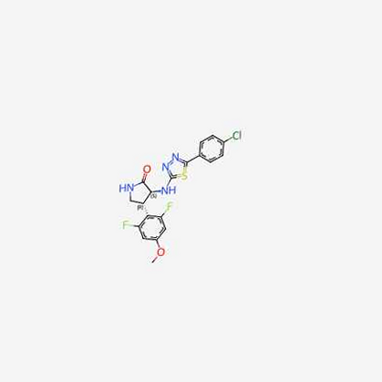 COc1cc(F)c([C@@H]2CNC(=O)[C@H]2Nc2nnc(-c3ccc(Cl)cc3)s2)c(F)c1